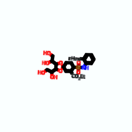 CCCCCCc1ccccc1NS(=O)(=O)C1CCC2(C=C1C(=O)OCC)OC(C(O)CO)C(C(O)CO)O2